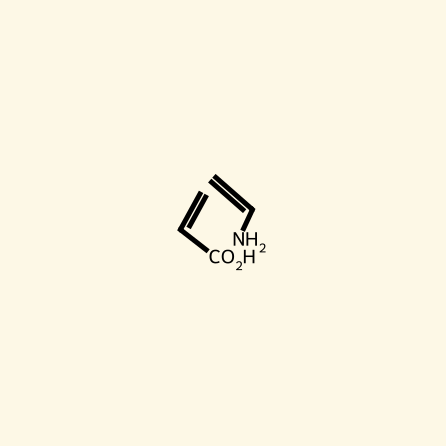 C=CC(=O)O.C=CN